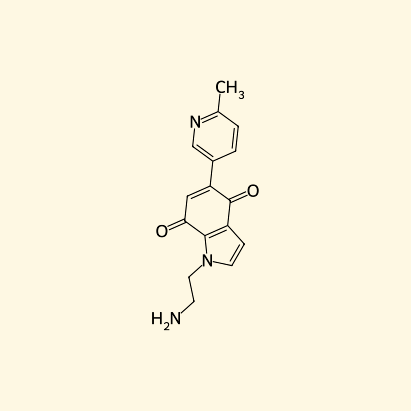 Cc1ccc(C2=CC(=O)c3c(ccn3CCN)C2=O)cn1